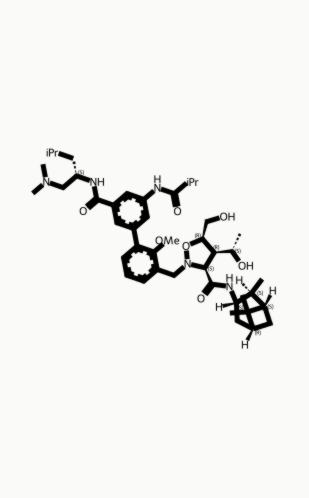 COc1c(CN2O[C@@H](CO)[C@@H]([C@H](C)O)[C@H]2C(=O)N[C@H]2C[C@H]3C[C@@H]([C@@H]2C)C3(C)C)cccc1-c1cc(NC(=O)C(C)C)cc(C(=O)N[C@@H](CC(C)C)CN(C)C)c1